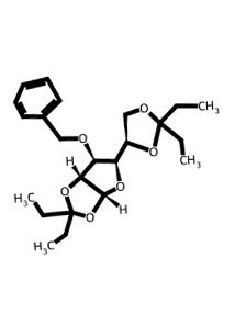 CCC1(CC)O[C@H]2O[C@H]([C@H]3COC(CC)(CC)O3)[C@H](OCc3ccccc3)[C@H]2O1